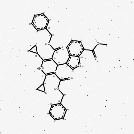 COC(=O)c1cccc2c(C3C(C(=O)OCc4ccccc4)=C(C4CC4)NC(C4CC4)=C3C(=O)OCc3ccccc3)csc12